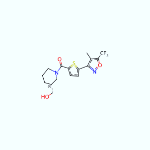 Cc1c(-c2ccc(C(=O)N3CCC[C@@H](CO)C3)s2)noc1C(F)(F)F